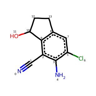 N#Cc1c(N)c(Cl)cc2c1C(O)CC2